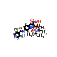 CC(C)N(C(C)C)S(=O)(=O)N[C@@](C)(Cc1ccc(NC(=O)c2c(Cl)cncc2Cl)cc1)C(=O)O